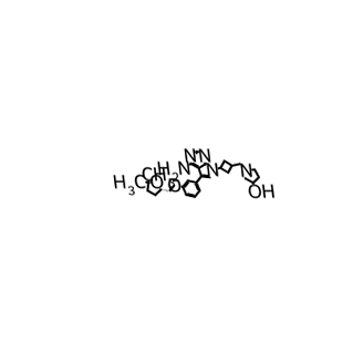 CC1(C)CC[C@@H](COc2cccc(-c3cn(C4CC(CN5CCC(O)C5)C4)c4ncnc(N)c34)c2)O1